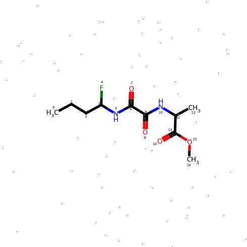 CCCC(F)NC(=O)C(=O)NC(C)C(=O)OC